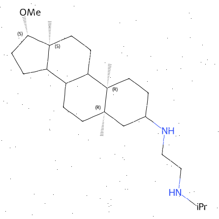 CO[C@H]1CCC2C3CC[C@]4(C)CC(NCCNC(C)C)CC[C@]4(C)C3CC[C@@]21C